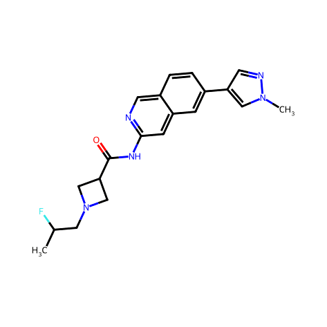 CC(F)CN1CC(C(=O)Nc2cc3cc(-c4cnn(C)c4)ccc3cn2)C1